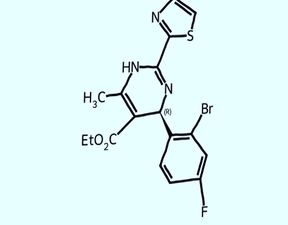 CCOC(=O)C1=C(C)NC(c2nccs2)=N[C@H]1c1ccc(F)cc1Br